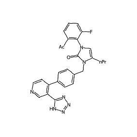 CCCc1cn(-c2c(F)cccc2C(C)=O)c(=O)n1Cc1ccc(-c2ccncc2-c2nnn[nH]2)cc1